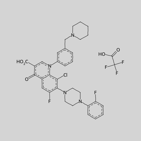 O=C(O)C(F)(F)F.O=C(O)c1cn(-c2cccc(CN3CCCCC3)c2)c2c(Cl)c(N3CCN(c4ccccc4F)CC3)c(F)cc2c1=O